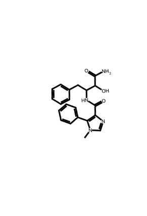 Cn1cnc(C(=O)NC(Cc2ccccc2)C(O)C(N)=O)c1-c1ccccc1